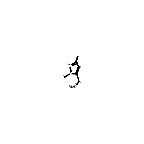 COCc1cc(C)nn1C